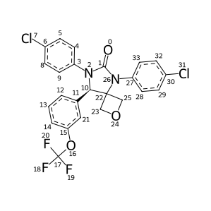 O=C1N(c2ccc(Cl)cc2)[C@H](c2cccc(OC(F)(F)F)c2)C2(COC2)N1c1ccc(Cl)cc1